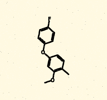 COc1cc(Oc2ccc(F)cc2)ccc1C